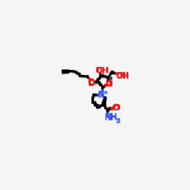 C#CCCCO[C@H]1C([n+]2cccc(C(N)=O)c2)O[C@H](CO)[C@H]1O